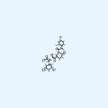 Cc1cc(F)ccc1N(C)C(=O)c1cc(NC(=O)[C@@H]2[C@@H](c3cc(Cl)cc(Cl)c3)C2(Cl)Cl)ccc1Cl